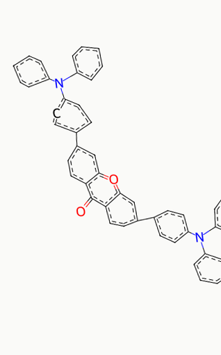 O=c1c2ccc(-c3ccc(N(c4ccccc4)c4ccccc4)cc3)cc2oc2cc(-c3ccc(N(c4ccccc4)c4ccccc4)cc3)ccc12